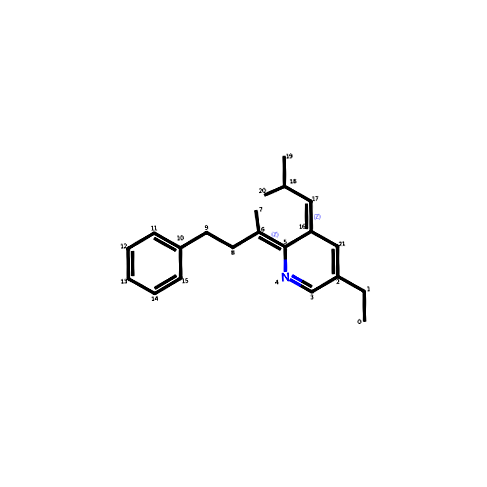 CCc1cnc(=C(/C)CCc2ccccc2)/c(=C\C(C)C)c1